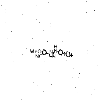 COc1ccc(-c2ccnc(Nc3ccc(N4CCN(C)CC4)cc3)n2)cc1C#N